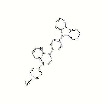 Cc1ccc(N2CCN(c3ccc(-n4c5ccccc5c5ccccc54)cc3)c3ncccc32)cc1